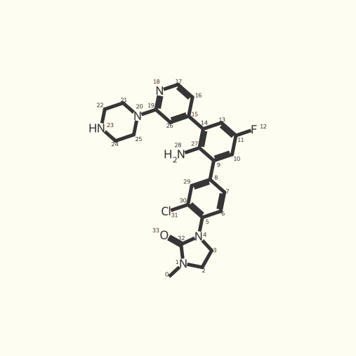 CN1CCN(c2ccc(-c3cc(F)cc(-c4ccnc(N5CCNCC5)c4)c3N)cc2Cl)C1=O